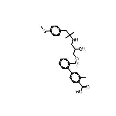 CSc1ccc(CC(C)(C)NCC(O)CO[C@H](C)c2ccccc2-c2ccc(C(=O)O)c(C)c2)cc1